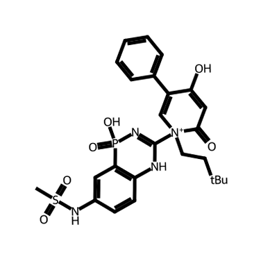 CC(C)(C)CC[N+]1(C2=NP(=O)(O)c3cc(NS(C)(=O)=O)ccc3N2)C=C(c2ccccc2)C(O)=CC1=O